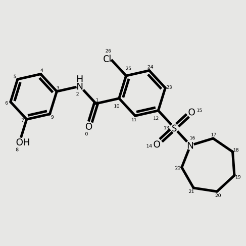 O=C(Nc1cccc(O)c1)c1cc(S(=O)(=O)N2CCCCCC2)ccc1Cl